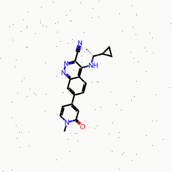 C[C@@H](Nc1c(C#N)nnc2cc(-c3ccn(C)c(=O)c3)ccc12)C1CC1